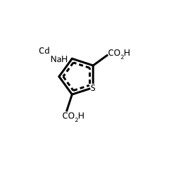 O=C(O)c1ccc(C(=O)O)s1.[Cd].[NaH]